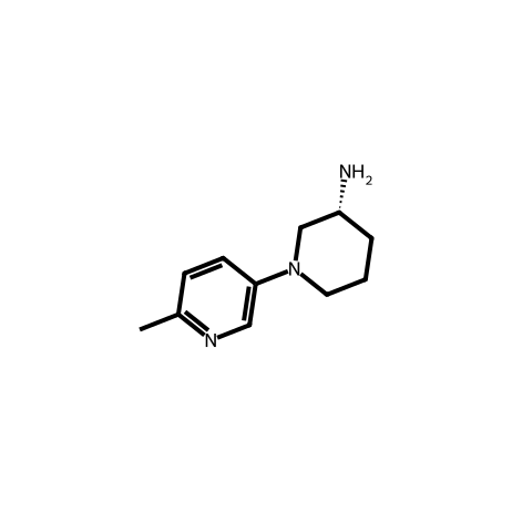 Cc1ccc(N2CCC[C@@H](N)C2)cn1